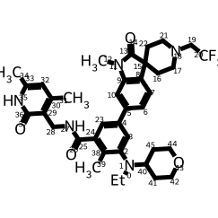 CCN(c1cc(-c2ccc3c(c2)N(C)C(=O)C32CCN(CC(F)(F)F)CC2)cc(C(=O)NCc2c(C)cc(C)[nH]c2=O)c1C)C1CCOCC1